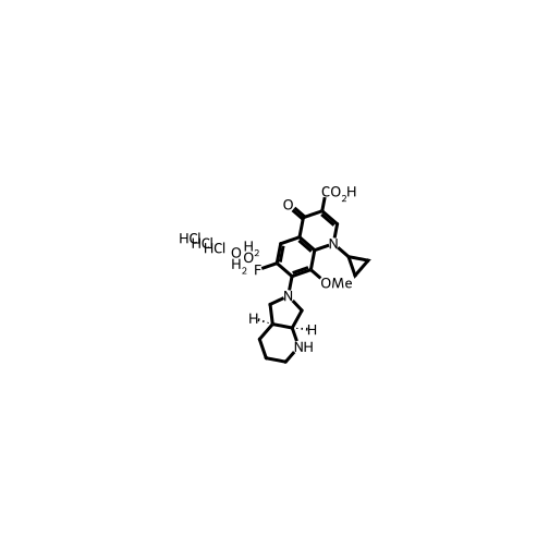 COc1c(N2C[C@@H]3CCCN[C@@H]3C2)c(F)cc2c(=O)c(C(=O)O)cn(C3CC3)c12.Cl.Cl.Cl.O.O